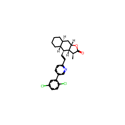 C[C@@H]1C(=O)O[C@H]2C[C@@H]3CCCC[C@H]3[C@H](/C=C/c3ccc(-c4cc(Cl)ccc4Cl)cn3)[C@H]21